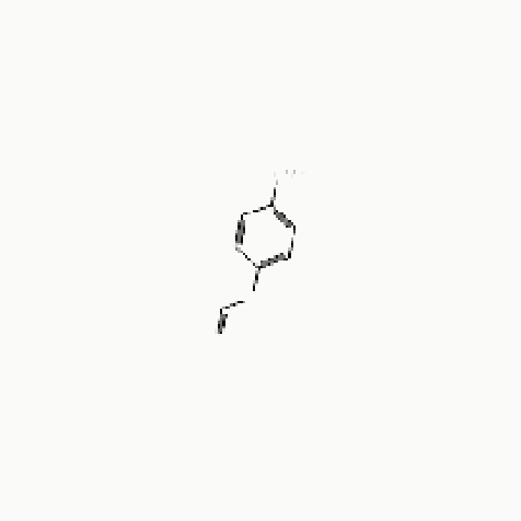 C=COc1ccc(OC)cc1